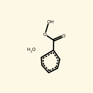 O.O=C(OO)c1ccccc1